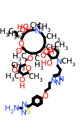 CCC[C@H]1OC(=O)[C@H](C)[C@@H](OC[C@H]2C[C@@](C)(OC)[C@@H](O)[C@H](C)O2)[C@H](C)[C@@H](O[C@@H]2O[C@H](C)C[C@H](N(C)CCc3cn(CCCOc4ccc(-c5nc(N)ns5)cc4)nn3)[C@H]2O)[C@](C)(O)C[C@@H](C)CN(C)[C@H](C)[C@@H](O)[C@]1(C)O